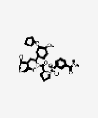 COc1ccc(C(Cc2c(Cl)cncc2Cl)OC(=O)C2CCCN2S(=O)(=O)c2cccc(C(=O)N(C)C)c2)cc1OC1CCCC1